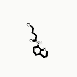 O=C(CCCCl)Nc1cccc2cccnc12